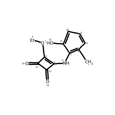 CCOc1c(Nc2c(C)cccc2O)c(=O)c1=O